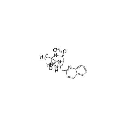 CN1C(=O)C2CNNC1(C)C(=O)N2Cc1ccc2ccccc2n1